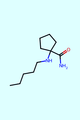 CCCCCNC1(C(N)=O)CCCC1